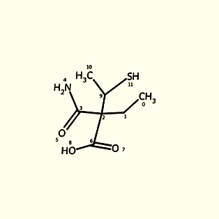 CCC(C(N)=O)(C(=O)O)C(C)S